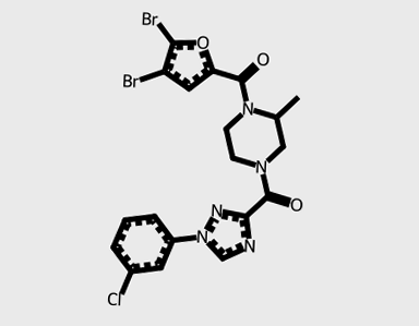 CC1CN(C(=O)c2ncn(-c3cccc(Cl)c3)n2)CCN1C(=O)c1cc(Br)c(Br)o1